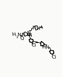 NC(=O)N1CCc2c(c(-c3ccc(Cl)c(C#Cc4ccc(CNCc5ccc(Cl)cc5)cc4)c3)nn2CCCN2CCN(C3CC3)CC2)C1